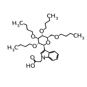 CCCCOC[C@H]1O[C@@H](c2cn(CC(=O)O)c3ccccc23)[C@H](OCCCC)[C@@H](OCCCC)[C@@H]1OCCCC